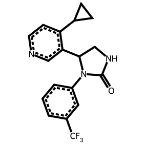 O=C1NCC(c2cnccc2C2CC2)N1c1cccc(C(F)(F)F)c1